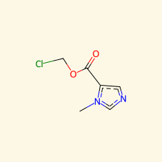 Cn1cncc1C(=O)OCCl